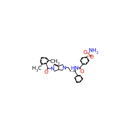 Cc1cccc(C)c1C(=O)N1C=C2CN(CC[C@H](NC(=O)c3ccc(S(N)(=O)=O)cc3)c3ccccc3)CC2C1